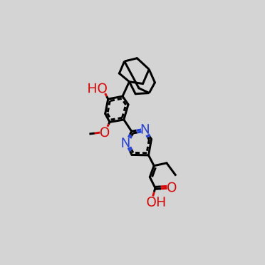 CC/C(=C\C(=O)O)c1cnc(-c2cc(C34CC5CC(CC(C5)C3)C4)c(O)cc2OC)nc1